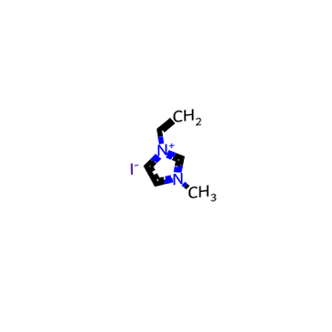 C=C[n+]1ccn(C)c1.[I-]